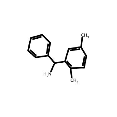 Cc1ccc(C)c(C(N)c2ccccc2)c1